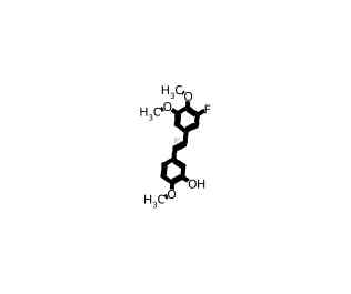 COc1ccc(/C=C/c2cc(F)c(OC)c(OC)c2)cc1O